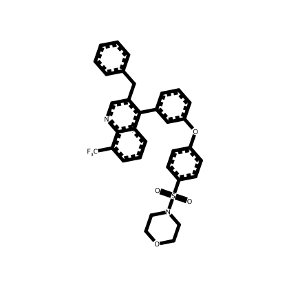 O=S(=O)(c1ccc(Oc2cccc(-c3c(Cc4ccccc4)cnc4c(C(F)(F)F)cccc34)c2)cc1)N1CCOCC1